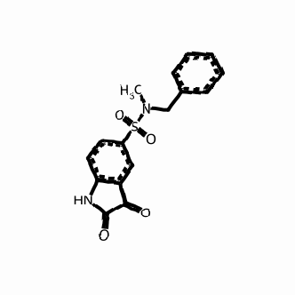 CN(Cc1ccccc1)S(=O)(=O)c1ccc2c(c1)C(=O)C(=O)N2